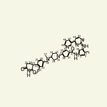 Cc1ccc(NC(=O)c2ccc(N3CCC(N(C)Cc4ccc(C5CCC(=O)NC5=O)c(F)c4)CC3)cc2)cc1Nc1nccc(-c2cccnc2)n1